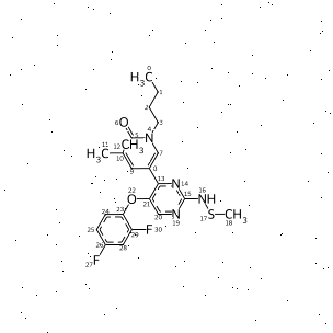 CCCCN(C=O)/C=C(\C=C(C)C)c1nc(NSC)ncc1Oc1ccc(F)cc1F